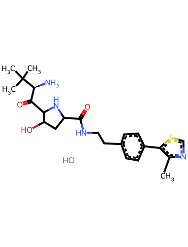 Cc1ncsc1-c1ccc(CCNC(=O)C2CC(O)C(C(=O)[C@H](N)C(C)(C)C)N2)cc1.Cl